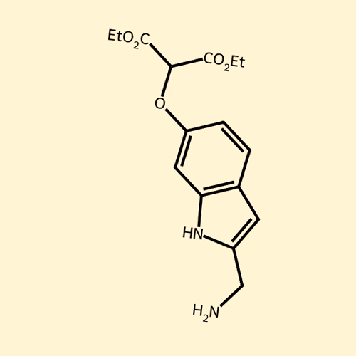 CCOC(=O)C(Oc1ccc2cc(CN)[nH]c2c1)C(=O)OCC